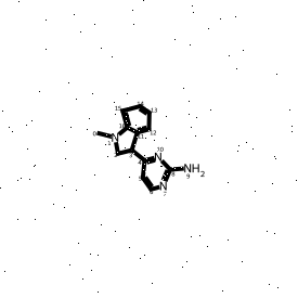 CN1CC(c2ccnc(N)n2)c2ccccc21